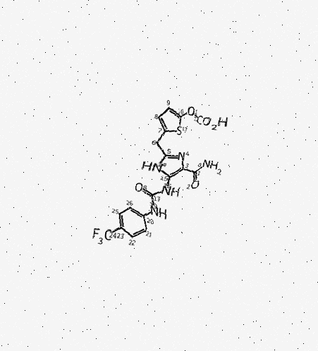 NC(=O)c1nc(Cc2ccc(OC(=O)O)s2)[nH]c1NC(=O)Nc1ccc(C(F)(F)F)cc1